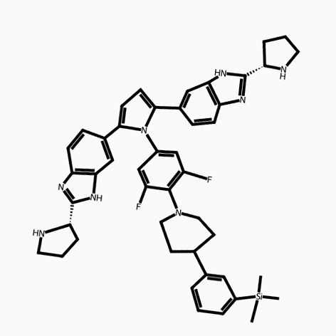 C[Si](C)(C)c1cccc(C2CCN(c3c(F)cc(-n4c(-c5ccc6nc([C@@H]7CCCN7)[nH]c6c5)ccc4-c4ccc5nc([C@@H]6CCCN6)[nH]c5c4)cc3F)CC2)c1